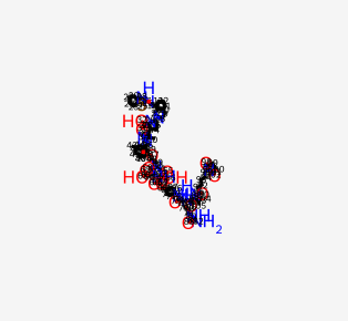 Cc1c(-c2ccc(N3CCc4cccc(CNc5nc6ccccc6s5)c4C3)nc2C(=O)O)cnn1CC12CC3(C)CC(C)(C1)CC(OCCN(CCS(=O)(=O)O)C(=O)[C@H](CC(=O)O)NC(=O)OCc1ccc(NC(=O)[C@H](CCCNC(N)=O)NC(=O)[C@@H](NC(=O)CCCCCN4C(=O)C=CC4=O)C(C)C)cc1)(C3)C2